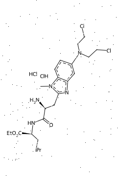 CCOC(=O)[C@H](CC(C)C)NC(=O)[C@@H](N)Cc1nc2cc(N(CCCl)CCCl)ccc2n1C.Cl.Cl